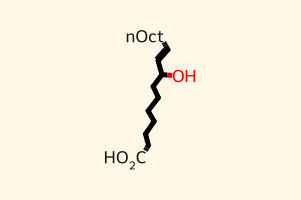 CCCCCCCC/C=C/C(O)CCCCCCC(=O)O